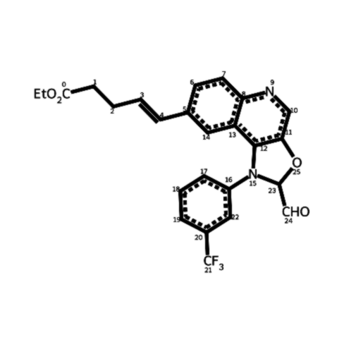 CCOC(=O)CCC=Cc1ccc2ncc3c(c2c1)N(c1cccc(C(F)(F)F)c1)C(C=O)O3